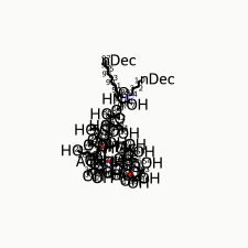 CCCCCCCCCCCCC/C=C/[C@@H](O)[C@H](CO[C@@H]1OC(CO)[C@@H](O[C@@H]2OC(CO)[C@H](O[C@@H]3OC(CO)[C@H](O)[C@H](O[C@@H]4OC(CO)[C@H](O)[C@H](O[C@@H]5OC(CO)[C@@H](O[C@@H]6OC(CO)[C@H](O)[C@H](O)C6O)[C@H](O[C@H]6OC(C)[C@@H](O)C(O)[C@@H]6O)C5NC(C)=O)C4O)C3NC(C)=O)[C@H](O)C2O)[C@H](O)C1O)NC(=O)CCCCCCCCCCCCCCCCC